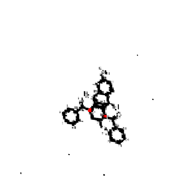 CCCCc1ccc2c(c1)[C@H]1c3ccc(CCCC)cc3[C@H]2C(OC(=O)c2ccccc2)C1OC(=O)c1ccccc1